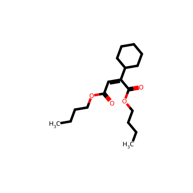 CCCCOC(=O)/C=C(\C(=O)OCCCC)C1CCCCC1